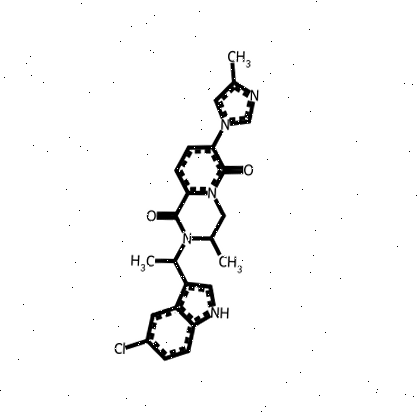 Cc1cn(-c2ccc3n(c2=O)CC(C)N(C(C)c2c[nH]c4ccc(Cl)cc24)C3=O)cn1